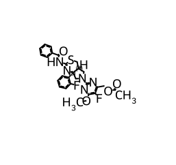 COc1nc(N2C[C@H]3CSC(NC(=O)c4ccccc4)=N[C@@]3(c3ccccc3F)C2)nc(COC(C)=O)c1F